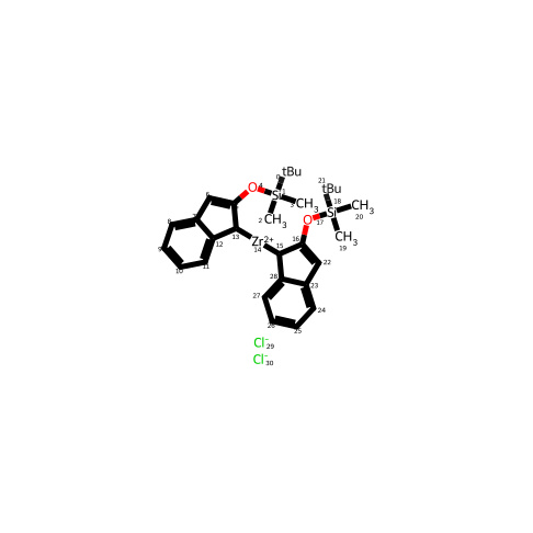 CC(C)(C)[Si](C)(C)OC1=Cc2ccccc2[CH]1[Zr+2][CH]1C(O[Si](C)(C)C(C)(C)C)=Cc2ccccc21.[Cl-].[Cl-]